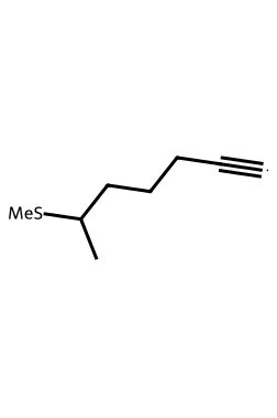 [C]#CCCCC(C)SC